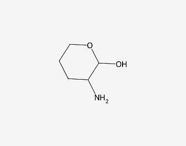 NC1CCCOC1O